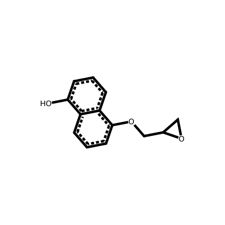 Oc1cccc2c(OCC3CO3)cccc12